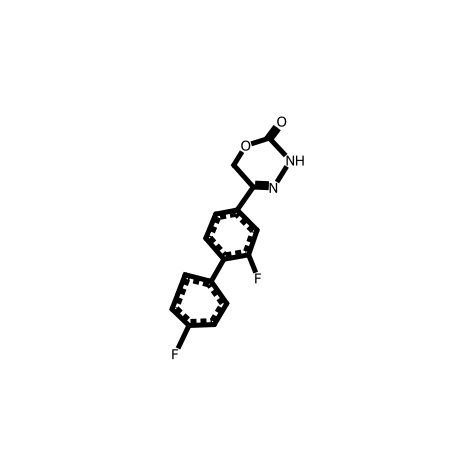 O=C1NN=C(c2ccc(-c3ccc(F)cc3)c(F)c2)CO1